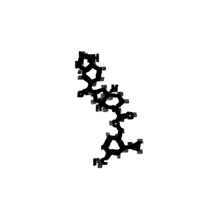 O=C(OCc1ccc(C(F)(F)F)cc1C1CC1)N1CC[C@@H]2CN(C(=O)c3ccc4[nH]nnc4c3)C[C@H]2C1